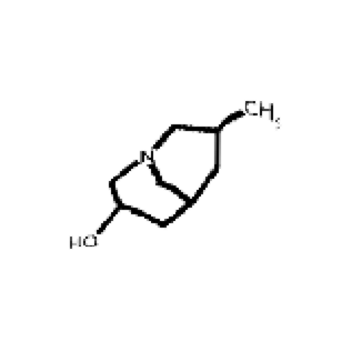 CC1CC2CC(O)CN(C1)C2